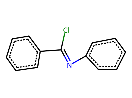 ClC(=Nc1ccccc1)c1ccccc1